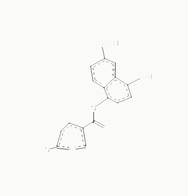 Nc1ccc(C(=O)Nc2ccc(O)c3cc(S(=O)(=O)O)ccc23)cc1